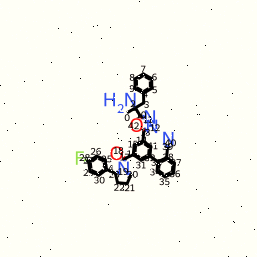 CC(N)(Cc1ccccc1)c1nnc(-c2cc(C(=O)N3CCCC3c3ccc(F)cc3)cc(-c3ccccc3C#N)c2)o1